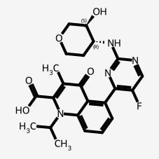 Cc1c(C(=O)O)n(C(C)C)c2cccc(-c3nc(N[C@@H]4CCOC[C@H]4O)ncc3F)c2c1=O